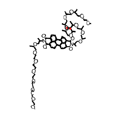 COCCOCCOCCOCCOCCOCCOCC(C)OCC(C)N1C(=O)c2ccc3c4ccc5c6c(ccc(c7ccc(c2c37)C1=O)c64)C(=O)N(C(C)COC(C)COC(C)COC(C)COC(C)COC(C)COC(C)COC(C)COC(C)COCCOC)C5=O